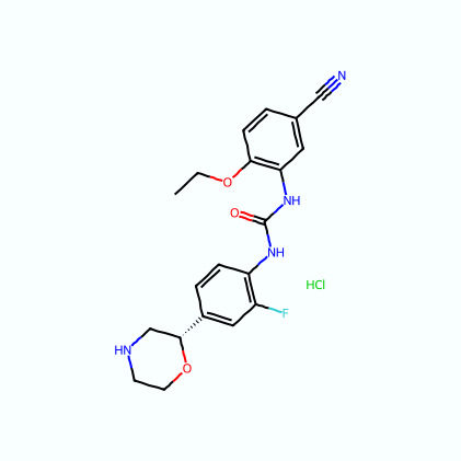 CCOc1ccc(C#N)cc1NC(=O)Nc1ccc([C@H]2CNCCO2)cc1F.Cl